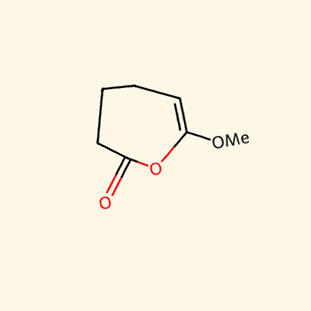 COC1=CCCCC(=O)O1